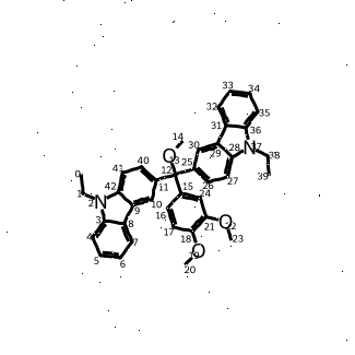 CCn1c2ccccc2c2cc(C(OC)(c3ccc(OC)c(OC)c3)c3ccc4c(c3)c3ccccc3n4CC)ccc21